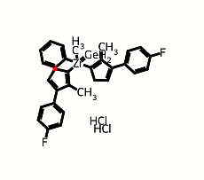 CC1=[C]([Zr]([CH3])(=[GeH2])([C]2=C(C)C(c3ccc(F)cc3)=CC2)[c]2ccccc2)CC=C1c1ccc(F)cc1.Cl.Cl